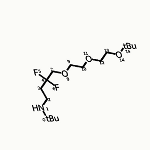 CC(C)(C)NCCC(F)(F)COCCOCCOC(C)(C)C